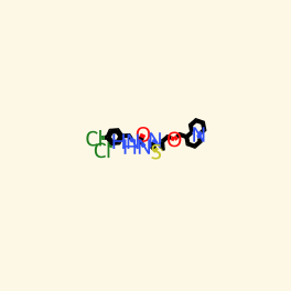 O=C(NCc1ccc(Cl)c(Cl)c1)Nc1nc(COCC2CCCN3CCCCC23)cs1